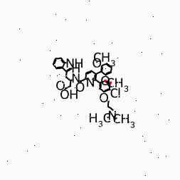 COc1cccc(OC)c1-c1ccc(C(=O)NC(CC(=O)O)Cc2c[nH]c3ccccc23)nc1-c1ccc(Cl)c(OCCCN(C)C)c1